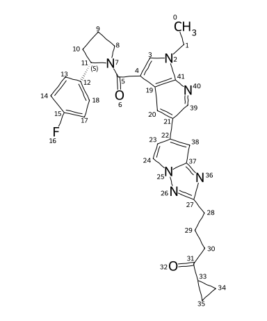 CCn1cc(C(=O)N2CCC[C@H]2c2ccc(F)cc2)c2cc(-c3ccn4nc(CCCC(=O)C5CC5)nc4c3)cnc21